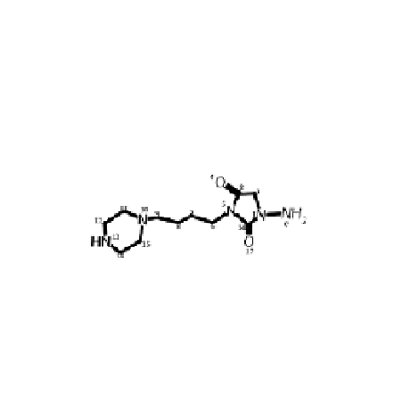 NN1CC(=O)N(CCCCN2CCNCC2)C1=O